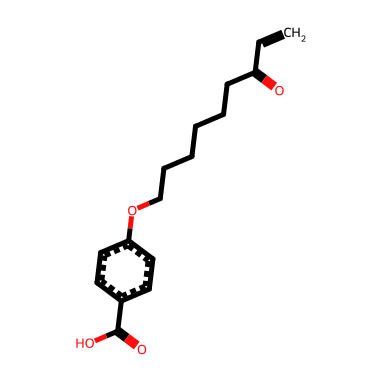 C=CC(=O)CCCCCCOc1ccc(C(=O)O)cc1